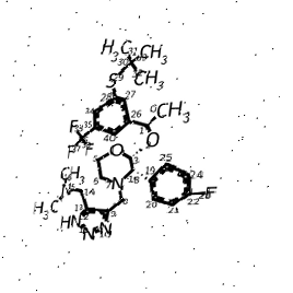 C[C@@H](O[C@H]1OCCN(Cc2nn[nH]c2CN(C)C)[C@H]1c1ccc(F)cc1)c1cc(SC(C)(C)C)cc(C(F)(F)F)c1